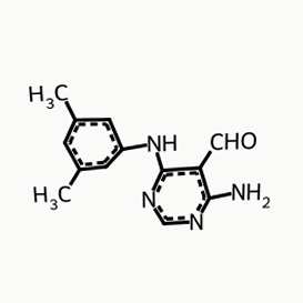 Cc1cc(C)cc(Nc2ncnc(N)c2C=O)c1